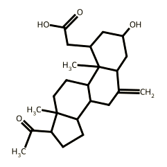 C=C1CC2C3CCC(C(C)=O)C3(C)CCC2C2(C)C(CC(=O)O)CC(O)CC12